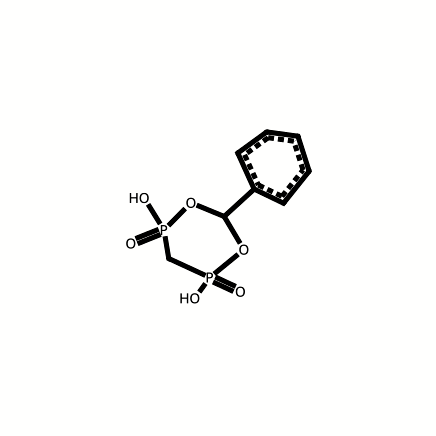 O=P1(O)CP(=O)(O)OC(c2ccccc2)O1